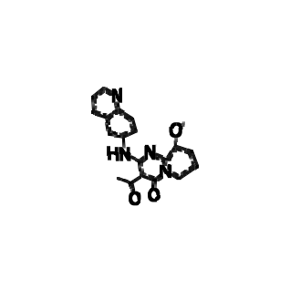 COc1cccn2c(=O)c(C(C)=O)c(Nc3ccc4ncccc4c3)nc12